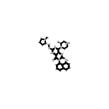 Cc1nc2c(N3CCNC[C@@H]3C)nc(OC[C@@H]3CCCN3C)nc2c(=O)n1-c1cccc2cccc(Cl)c12